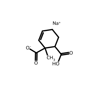 CC1(C(=O)[O-])C=CCCC1C(=O)O.[Na+]